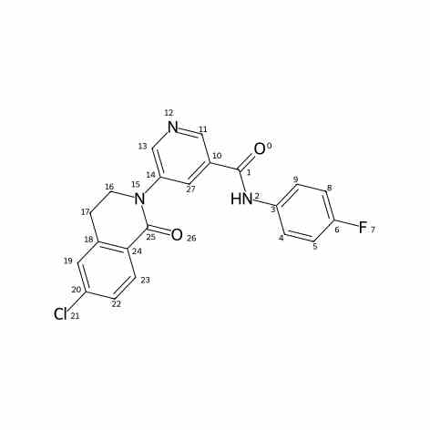 O=C(Nc1ccc(F)cc1)c1cncc(N2CCc3cc(Cl)ccc3C2=O)c1